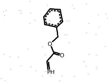 O=C(C=P)OCc1ccccc1